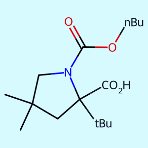 CCCCOC(=O)N1CC(C)(C)CC1(C(=O)O)C(C)(C)C